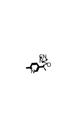 Cc1ccc([C@H](C)S(C)(=O)=NC#N)cn1